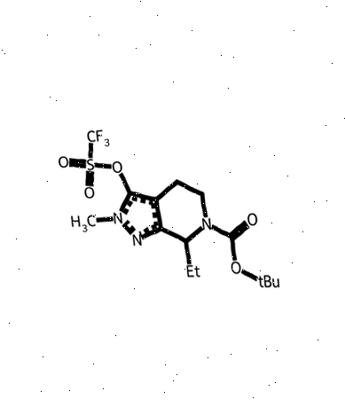 CCC1c2nn(C)c(OS(=O)(=O)C(F)(F)F)c2CCN1C(=O)OC(C)(C)C